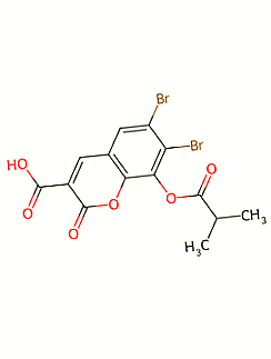 CC(C)C(=O)Oc1c(Br)c(Br)cc2cc(C(=O)O)c(=O)oc12